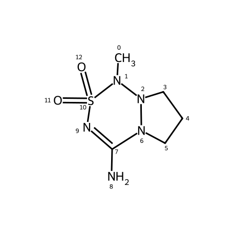 CN1N2CCCN2C(N)=NS1(=O)=O